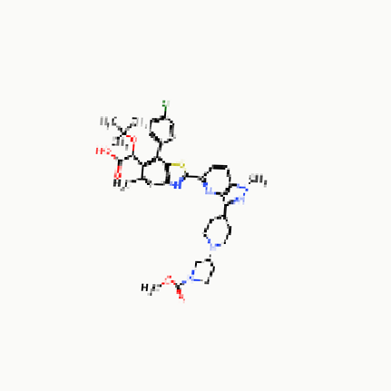 COC(=O)N1CC[C@@H](N2CCC(c3nn(C)c4ccc(-c5nc6cc(C)c([C@H](OC(C)(C)C)C(=O)O)c(-c7ccc(Cl)cc7)c6s5)nc34)CC2)C1